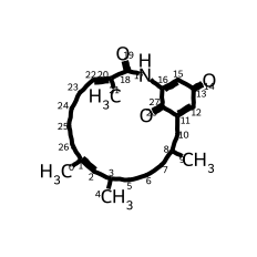 C/C1=C/C(C)CCCC(C)CC2=CC(=O)C=C(NC(=O)/C(C)=C/CCC[CH]1)C2=O